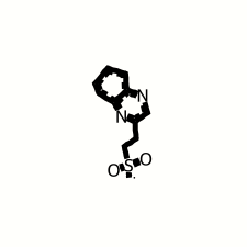 [CH2]S(=O)(=O)CCc1cnc2ccccc2n1